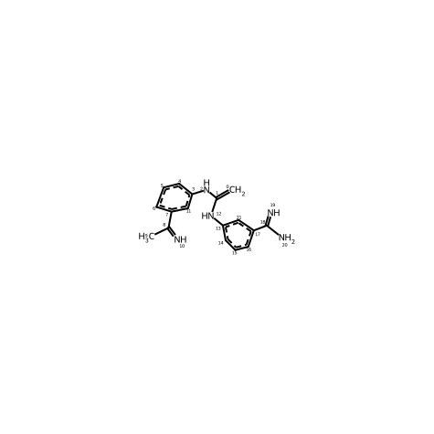 C=C(Nc1cccc(C(C)=N)c1)Nc1cccc(C(=N)N)c1